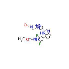 CCOCCNCc1c(F)cc(-c2cccc3c2NC(C2=CN(C4CCN(CC=O)CC4)NC2)C=N3)cc1F